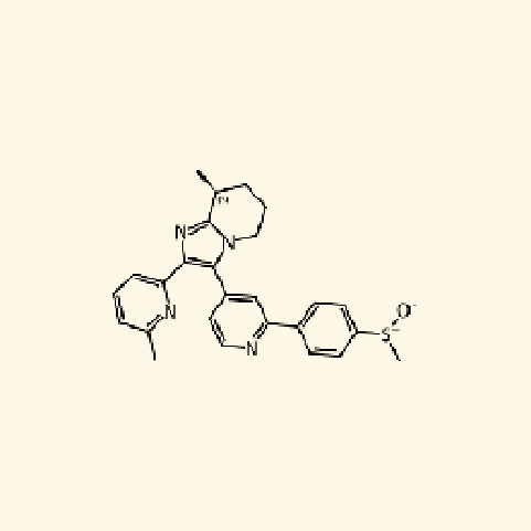 Cc1cccc(-c2nc3n(c2-c2ccnc(-c4ccc([S+](C)[O-])cc4)c2)CCC[C@@H]3C)n1